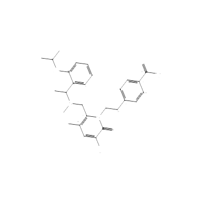 CC(C)Oc1ccccc1C(C)N(C)Cc1c(Cl)cc(Cl)c(=O)n1CCc1ccc(C(=O)O)cc1